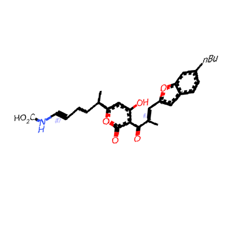 CCCCc1ccc2cc(/C=C(\C)C(=O)c3c(O)cc(C(C)CC/C=C/NC(=O)O)oc3=O)oc2c1